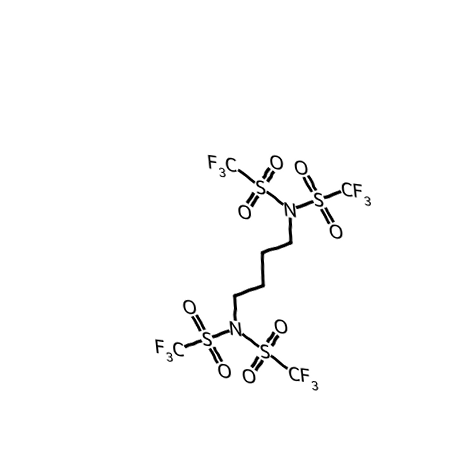 O=S(=O)(N(CCCCN(S(=O)(=O)C(F)(F)F)S(=O)(=O)C(F)(F)F)S(=O)(=O)C(F)(F)F)C(F)(F)F